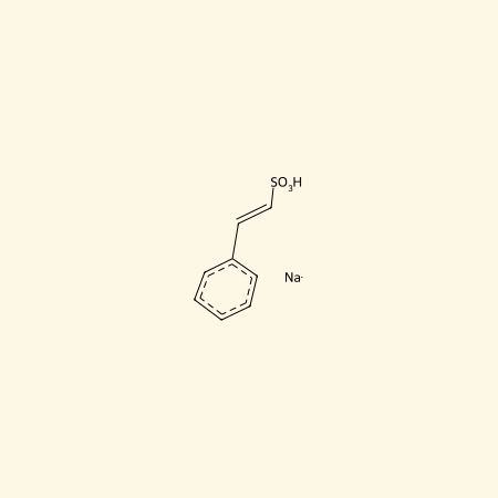 O=S(=O)(O)C=Cc1ccccc1.[Na]